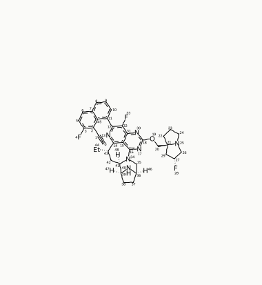 C#Cc1c(F)ccc2cccc(-c3nc4c5c(nc(OC[C@@]67CCCN6C[C@H](F)C7)nc5c3F)N3C[C@H]5CC[C@H](N5)[C@H]3C[C@@H]4CC)c12